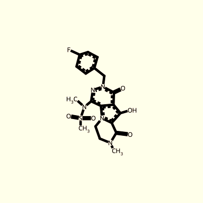 CN1CCn2c(c(O)c3c(=O)n(Cc4ccc(F)cc4)nc(N(C)S(C)(=O)=O)c32)C1=O